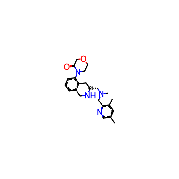 Cc1cnc(CN(C)C[C@H]2Cc3c(cccc3N3CCOCC3=O)CN2)c(C)c1